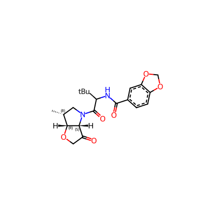 C[C@@H]1CN(C(=O)C(NC(=O)c2ccc3c(c2)OCO3)C(C)(C)C)[C@@H]2C(=O)CO[C@H]12